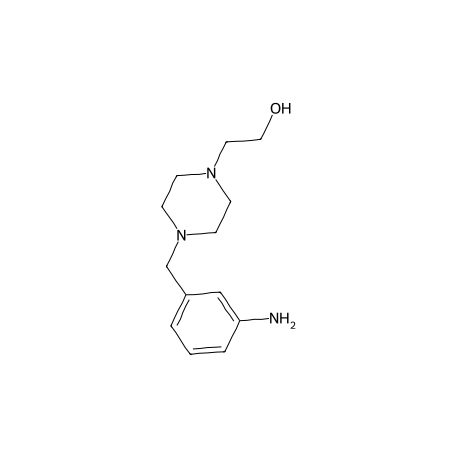 Nc1cccc(CN2CCN(CCO)CC2)c1